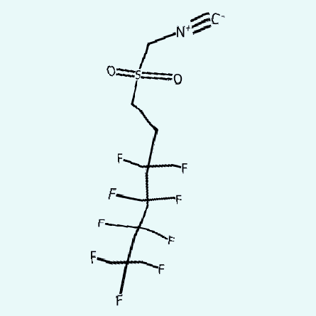 [C-]#[N+]CS(=O)(=O)CCC(F)(F)C(F)(F)C(F)(F)C(F)(F)F